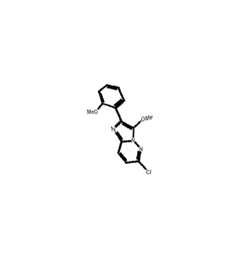 COc1ccccc1-c1nc2ccc(Cl)nn2c1OC